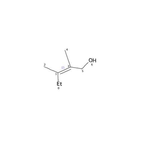 CC/C(C)=C(/C)CO